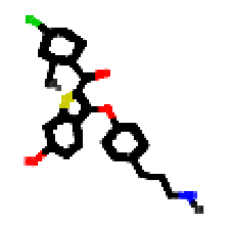 CCNCCCc1ccc(Oc2c(C(=O)c3ccc(Cl)cc3C)sc3cc(O)ccc23)cc1